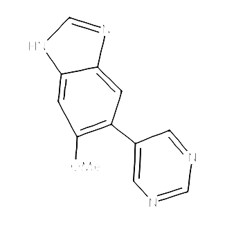 COc1cc2[nH]cnc2cc1-c1cncnc1